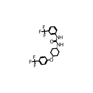 O=C(Nc1cccc(C(F)(F)F)c1)N[C@H]1CC[C@H](Oc2ccc(C(F)(F)F)cc2)CC1